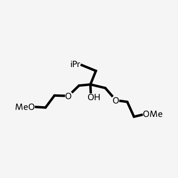 COCCOCC(O)(COCCOC)CC(C)C